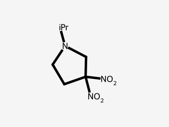 CC(C)N1CCC([N+](=O)[O-])([N+](=O)[O-])C1